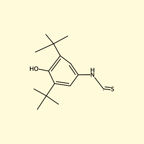 CC(C)(C)c1cc(N[C]=S)cc(C(C)(C)C)c1O